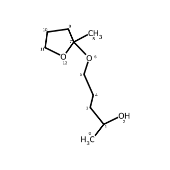 CC(O)CCCOC1(C)CCCO1